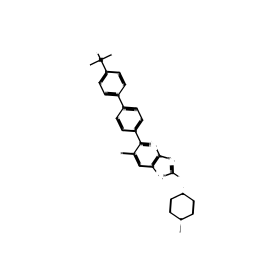 CC(C)(O)c1ccc(-c2ccc(-c3nc4nc(O[C@H]5CC[C@H](C)CC5)[nH]c4cc3Cl)cc2)cc1